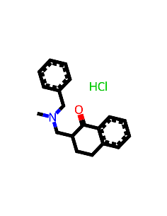 CN(Cc1ccccc1)CC1CCc2ccccc2C1=O.Cl